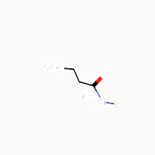 O=C([O-])CCC(=O)NBr.[K+]